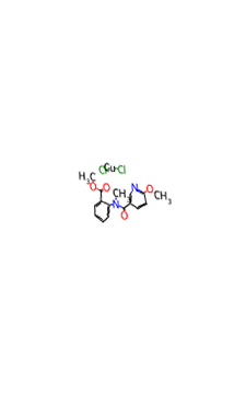 COC(=O)c1ccccc1N(C)C(=O)c1ccc(OC)nc1.[Cl][Cu][Cl]